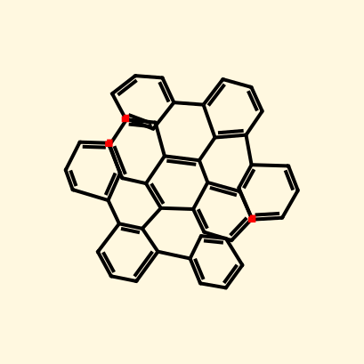 c1ccc(-c2cccc(-c3ccccc3)c2-c2c3ccccc3c(-c3c(-c4ccccc4)cccc3-c3ccccc3)c3ccccc23)cc1